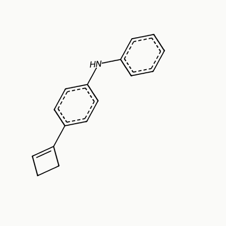 C1=C(c2ccc(Nc3ccccc3)cc2)CC1